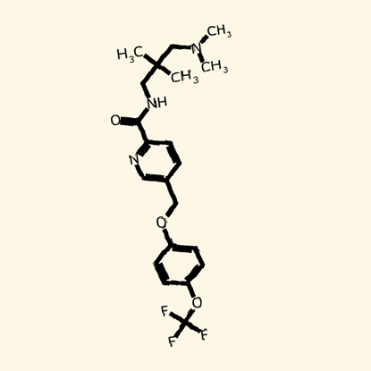 CN(C)CC(C)(C)CNC(=O)c1ccc(COc2ccc(OC(F)(F)F)cc2)cn1